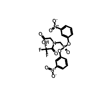 O=C(O)CN(CP(=O)(Oc1cccc([N+](=O)[O-])c1)Oc1cccc([N+](=O)[O-])c1)C(=O)C(F)(F)F